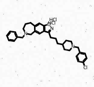 Cl.Cl.Clc1ccc(CN2CCC(CCCc3noc4cc5c(cc34)CN(Cc3ccccc3)CCC5)CC2)cc1